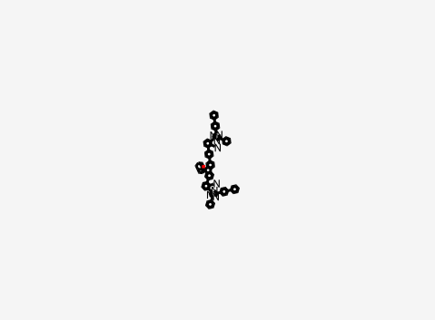 N#Cc1c(-c2ccc(-c3ccc4c(c3)C3(c5cc(-c6cccc(-c7nc(-c8ccccc8)nc(-c8ccc(-c9ccccc9)cc8)n7)c6C#N)ccc5-4)C4CC5CC(C4)CC3C5)cc2)cccc1-c1nc(-c2ccccc2)nc(-c2ccc(-c3ccccc3)cc2)n1